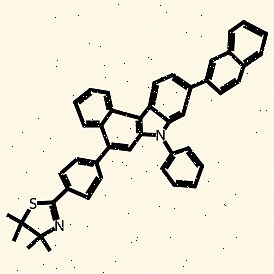 CC1(C)N=C(c2ccc(-c3cc4c(c5ccccc35)c3ccc(-c5ccc6ccccc6c5)cc3n4-c3ccccc3)cc2)SC1(C)C